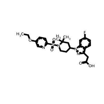 CCOc1ccc(S(=O)(=O)N2CCC(n3nc(CC(=O)O)c4ccc(F)cc43)CC2(C)C)nc1